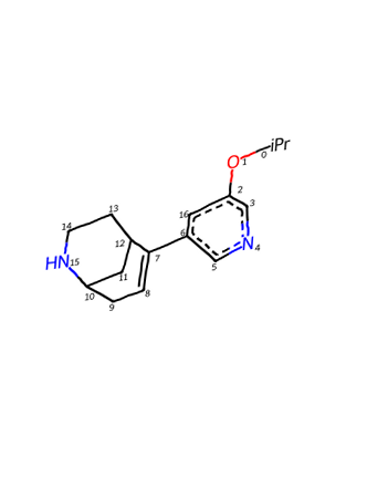 CC(C)Oc1cncc(C2=CCC3CC2CCN3)c1